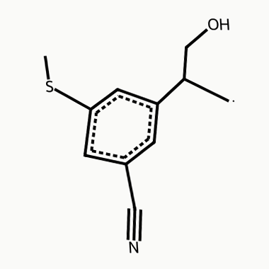 [CH2]C(CO)c1cc(C#N)cc(SC)c1